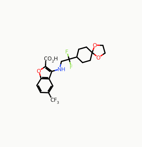 O=C(O)c1oc2ccc(C(F)(F)F)cc2c1NCC(F)(F)C1CCC2(CC1)OCCO2